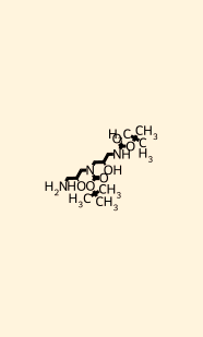 CC(C)(C)OC(=O)NC[C@@H](O)CN(C[C@H](O)CN)C(=O)OC(C)(C)C